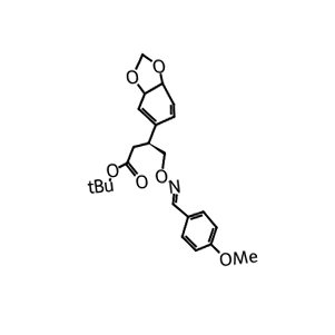 COc1ccc(/C=N/OC[C@@H](CC(=O)OC(C)(C)C)C2=CC3OCOC3C=C2)cc1